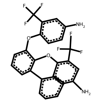 Nc1ccc(Oc2cccc(-c3ccccc3)c2Oc2ccc(N)cc2C(F)(F)F)c(C(F)(F)F)c1